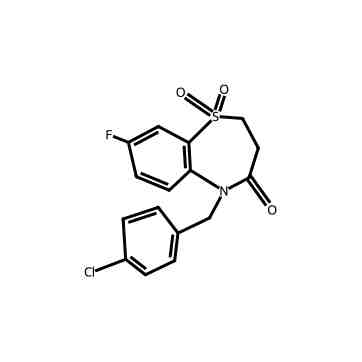 O=C1CCS(=O)(=O)c2cc(F)ccc2N1Cc1ccc(Cl)cc1